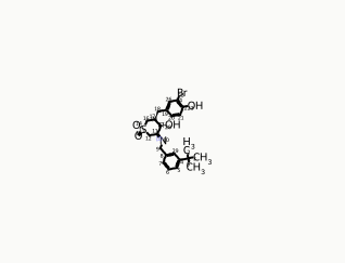 CC(C)(C)c1cccc(C/N=C2\CS(=O)(=O)C[C@@H](Cc3ccc(O)c(Br)c3)[C@@H]2O)c1